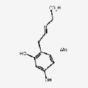 O=C(O)CN=CCc1ccc(O)cc1O.[Mn]